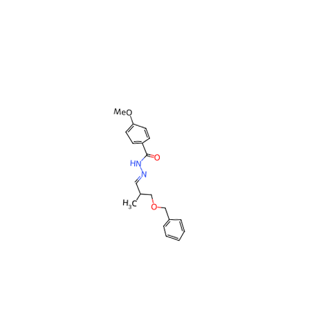 COc1ccc(C(=O)NN=CC(C)COCc2ccccc2)cc1